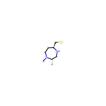 C[C@H]1CN[C@H](CS)CCN1C